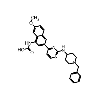 COc1ccc2cc(-c3ccnc(NC4CCN(Cc5ccccc5)CC4)n3)cc(NC(=O)O)c2c1